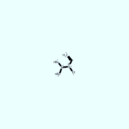 C=C[SiH](CC)N(CCCC)CCCC